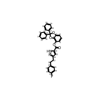 O=C(Oc1cccc2c1OC(c1ccccc1)(c1ccccc1)O2)c1cc(CCc2ccc(F)cc2)n[nH]1